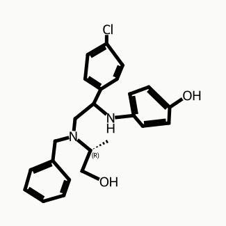 C[C@H](CO)N(Cc1ccccc1)CC(Nc1ccc(O)cc1)c1ccc(Cl)cc1